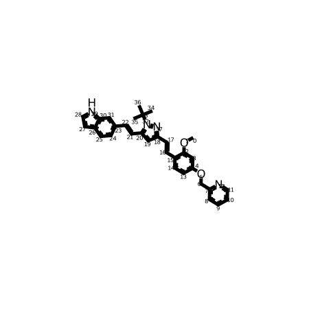 COc1cc(OCc2ccccn2)ccc1C=Cc1cc(C=Cc2ccc3cc[nH]c3c2)n(C(C)(C)C)n1